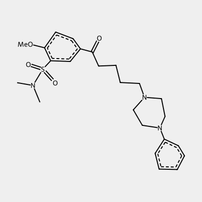 COc1ccc(C(=O)CCCCN2CCN(c3ccccc3)CC2)cc1S(=O)(=O)N(C)C